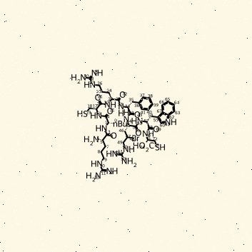 CCCC[C@H](NC(=O)[C@@H](N)CCCNC(=N)N)C(=O)N[C@@H](CS)C(=O)N[C@@H](CCCNC(=N)N)C(=O)N[C@H](Cc1ccccc1)C(=O)N[C@@H](CC(Br)CNC(=N)N)C(=O)N[C@H](Cc1c[nH]c2ccccc12)C(=O)N[C@@H](CS)C(=O)O